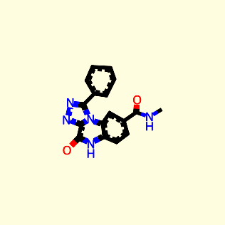 CNC(=O)c1ccc2[nH]c(=O)c3nnc(-c4ccccc4)n3c2c1